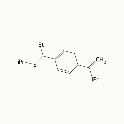 C=C(C(C)C)C1C=CC(C(CC)SC(C)C)=CC1